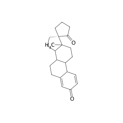 CC12CCC3C4C=CC(=O)C=C4CCC3C1CC[C@@]21CCCC1=O